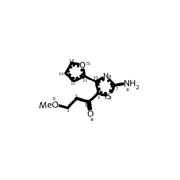 COCCC(=O)c1sc(N)nc1-c1ccco1